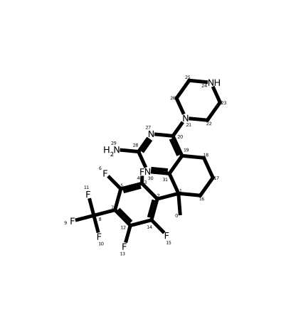 CC1(c2c(F)c(F)c(C(F)(F)F)c(F)c2F)CCCc2c(N3CCNCC3)nc(N)nc21